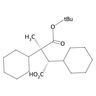 CC(C)(C)OC(=O)[C@](C)(C1CCCCC1)[C@@H](C(=O)O)C1CCCCC1